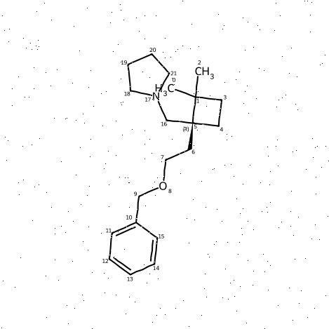 CC1(C)CC[C@]1(CCOCc1ccccc1)CN1CCCC1